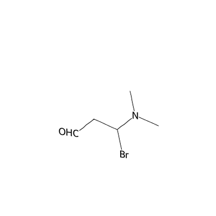 CN(C)C(Br)CC=O